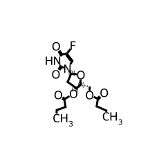 CCCC(=O)OC[C@H]1O[C@@H](n2cc(F)c(=O)[nH]c2=O)C[C@@H]1OC(=O)CCC